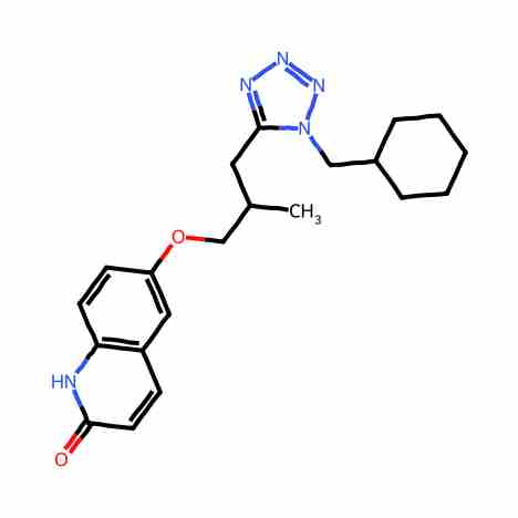 CC(COc1ccc2[nH]c(=O)ccc2c1)Cc1nnnn1CC1CCCCC1